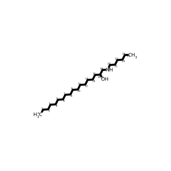 CCCCCCCCCCCCCCCCC(O)CNCCCCCC